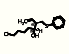 [2H][C@](O)(CCCCCl)[C@@H](C=C)CSc1ccccc1